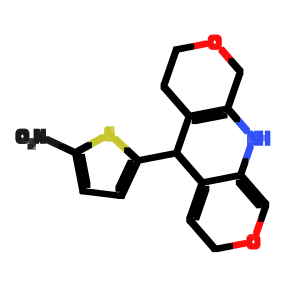 O=[N+]([O-])c1ccc(C2C3=CCOC=C3NC3=C2CCOC3)s1